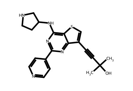 CC(C)(O)C#Cc1csc2c(NC3CCNC3)nc(-c3ccncc3)nc12